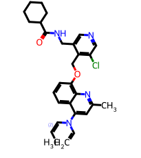 C=CN(/C=C\C)c1cc(C)nc2c(OCc3c(Cl)cncc3CNC(=O)C3CCCCC3)cccc12